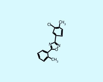 Cc1ccc(-c2noc(-c3ccccc3C)n2)cc1Cl